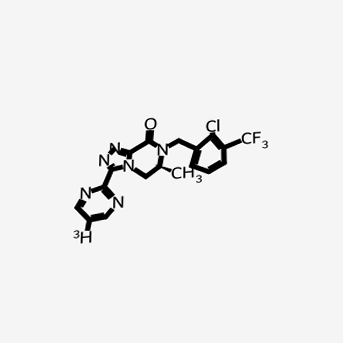 [3H]c1cnc(-c2nnc3n2C[C@H](C)N(Cc2cccc(C(F)(F)F)c2Cl)C3=O)nc1